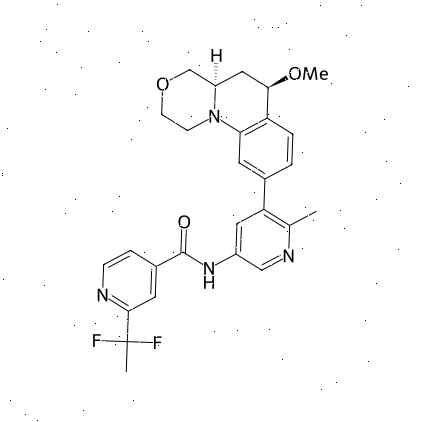 CO[C@@H]1C[C@@H]2COCCN2c2cc(-c3cc(NC(=O)c4ccnc(C(C)(F)F)c4)cnc3C)ccc21